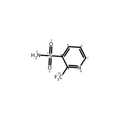 NS(=O)(=O)c1cccnc1C(F)(F)F